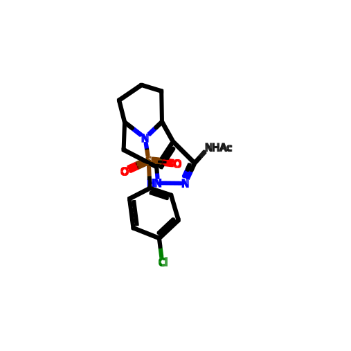 CC(=O)Nc1n[nH]c2c1C1CCCC(C2)N1S(=O)(=O)c1ccc(Cl)cc1